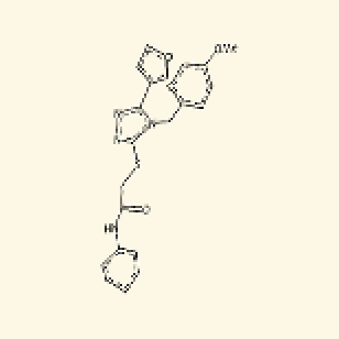 COc1ccc(Cn2c(SCC(=O)Nc3ccccc3)nnc2-c2ccoc2)cc1